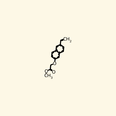 C=Cc1ccc2cc(OCC(=O)OC)ccc2c1